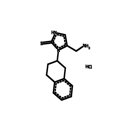 Cl.NCc1c[nH]c(=S)n1C1CCc2ccccc2C1